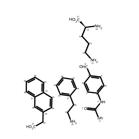 CCCC(=O)Nc1ccc(C=O)cc1.NCCC[C@H](N)C(=O)O.NCCc1ccccc1.O=C(O)Cc1ccc2ccccc2c1